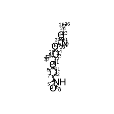 CC(=O)NC(C)c1ccc(OCc2ccc(Oc3cncc(OCC4CC4)c3)cc2F)cc1